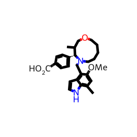 COc1cc(C)c2[nH]ccc2c1CN1CCCCCOCC(C)[C@H]1c1ccc(C(=O)O)cc1